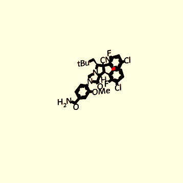 COc1cc(C(N)=O)ccc1N1CN2[C@@H](CC(C)(C)C)[C@](C#N)(c3ccc(Cl)cc3F)[C@@H](c3cccc(Cl)c3F)[C@@H]2C1=O